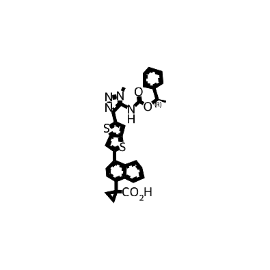 C[C@@H](OC(=O)Nc1c(-c2cc3sc(-c4ccc(C5(C(=O)O)CC5)c5ccccc45)cc3s2)nnn1C)c1ccccc1